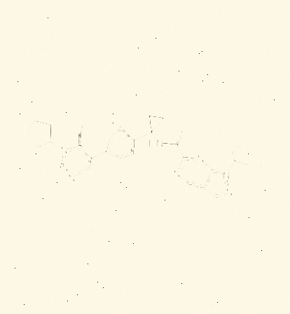 CC(C)n1ncc2cnc(C(=O)NC3(c4ccc(-c5cncn(C6CCOC6)c5=O)cc4)CC3)nc21